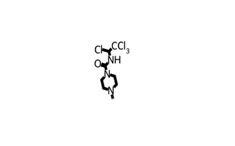 CN1CCN(C(=O)NC(Cl)C(Cl)(Cl)Cl)CC1